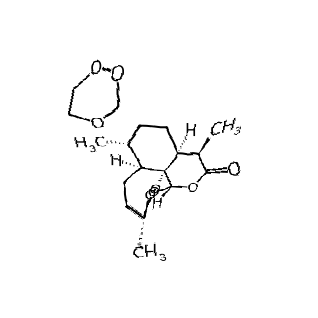 C1COOCO1.C[C@@H]1CC[C@H]2[C@@H](C)C(=O)O[C@@H]3O[C@]4(C)CC[C@@H]1[C@]32OO4